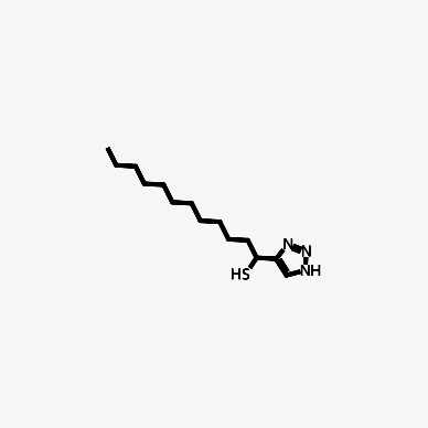 CCCCCCCCCCCC(S)c1c[nH]nn1